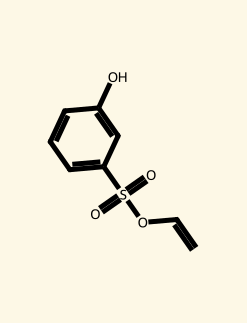 C=COS(=O)(=O)c1cccc(O)c1